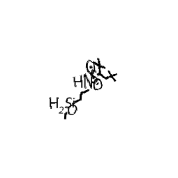 CCO[SiH2]CCCNS(=O)(=O)C(CC(C)(C)C)C(C)(C)C